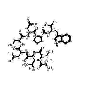 CC(C)C[C@H](NC(=O)[C@H](CO)NC(=O)[C@H](C)N)C(=O)N[C@@H](CC(=O)O)C(=O)N[C@@H](CO)C(=O)N[C@@H](CC(=O)O)C(=O)N1CCC[C@H]1C(=O)N[C@@H](Cc1c[nH]c2ccccc12)C(=O)O